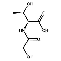 C[C@@H](O)[C@H](NC(=O)CO)C(=O)O